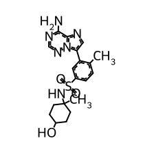 Cc1ccc(S(=O)(=O)NC2(C)CCC(O)CC2)cc1-c1cnc2c(N)ncnn12